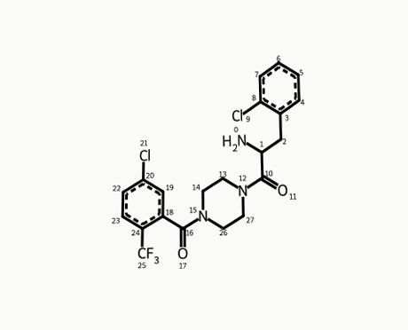 NC(Cc1ccccc1Cl)C(=O)N1CCN(C(=O)c2cc(Cl)ccc2C(F)(F)F)CC1